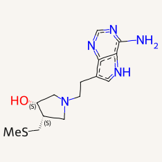 CSC[C@H]1CN(CCc2c[nH]c3c(N)ncnc23)C[C@H]1O